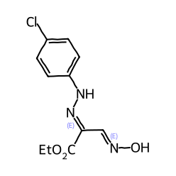 CCOC(=O)C(/C=N/O)=N/Nc1ccc(Cl)cc1